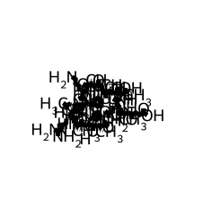 CC(C)C[C@H](NC(=O)[C@H](Cc1ccccc1)NC(=O)[C@H](CCCCN)NC(=O)[C@H](C)NC(=O)[C@H](C)NC(=O)[C@H](C)NC(=O)[C@@H](NC(=O)[C@H](CCC(=O)O)NC(=O)[C@H](C)NC(=O)CCC(=O)O)[C@@H](C)O)C(=O)N[C@@H](CCCN=C(N)N)C(=O)N[C@@H](C)C(=O)N[C@@H](Cc1cnc[nH]1)C(=O)N[C@@H](C)C(N)=O